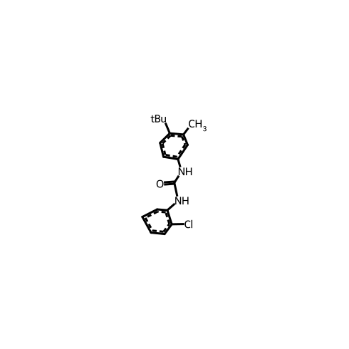 Cc1cc(NC(=O)Nc2ccccc2Cl)ccc1C(C)(C)C